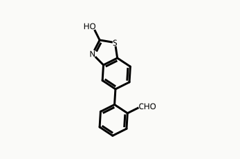 O=Cc1ccccc1-c1ccc2sc(O)nc2c1